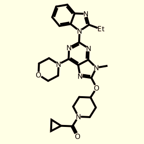 CCc1nc2ccccc2n1-c1nc(N2CCOCC2)c2nc(OC3CCN(C(=O)C4CC4)CC3)n(C)c2n1